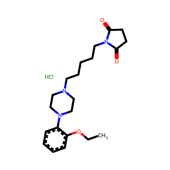 CCOc1ccccc1N1CCN(CCCCCN2C(=O)CCC2=O)CC1.Cl